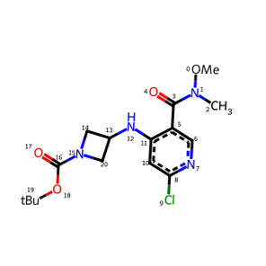 CON(C)C(=O)c1cnc(Cl)cc1NC1CN(C(=O)OC(C)(C)C)C1